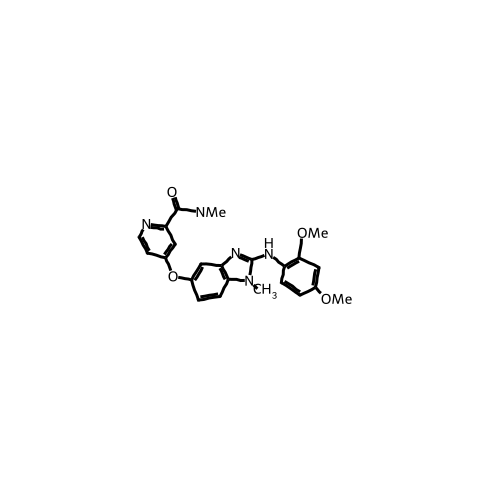 CNC(=O)c1cc(Oc2ccc3c(c2)nc(Nc2ccc(OC)cc2OC)n3C)ccn1